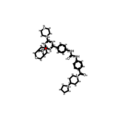 O=C(Nc1ccc(C(=O)N2CCC(N3CCCC3)CC2)cc1)Nc1ccc(-c2nc(N3CCOCC3)nc(N3C4COCC3COC4)n2)cc1